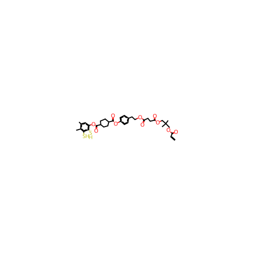 C=CC(=O)OCC(C)(C)COC(=O)CCC(=O)OCCc1ccc(OC(=O)C2CCC(C(=O)Oc3cc(C)c(C)c(S)c3S)CC2)cc1